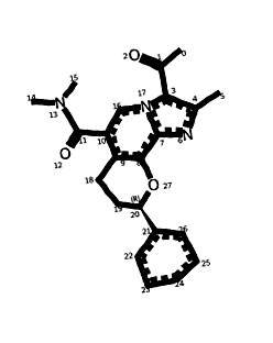 CC(=O)c1c(C)nc2c3c(c(C(=O)N(C)C)cn12)CC[C@H](c1ccccc1)O3